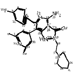 Cc1cc(-c2c(-c3ccc(F)cc3)nc(N)[n+]3c(=O)n(CCN4CCCCC4)[nH]c23)cc(C)n1